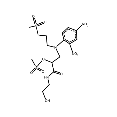 CS(=O)(=O)OCCN(CC(OS(C)(=O)=O)C(=O)NCCO)c1ccc([N+](=O)[O-])cc1[N+](=O)[O-]